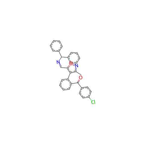 Cc1noc(/C=N\C(c2ccccc2)c2ccccc2)c1-c1ccccc1C(=O)c1ccc(Cl)cc1